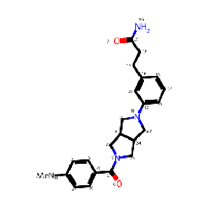 CNc1ccc(C(=O)N2CC3CN(c4cccc(CCC(N)=O)c4)CC3C2)cc1